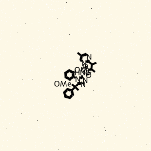 COc1cccc(OC)c1-n1c(NS(=O)(=O)C(C)C(C)c2ncc(C)cn2)nnc1C(C)(C)c1ccccc1